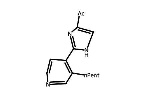 CCCCCc1cnccc1-c1nc(C(C)=O)c[nH]1